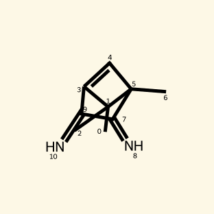 CC1(C)C2=CC1(C)C(=N)C2=N